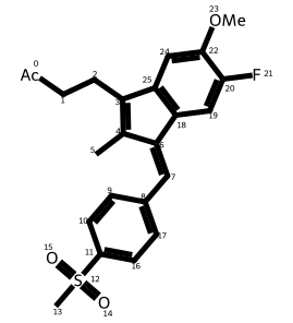 [CH2]C(=O)CCC1=C(C)C(=Cc2ccc(S(C)(=O)=O)cc2)c2cc(F)c(OC)cc21